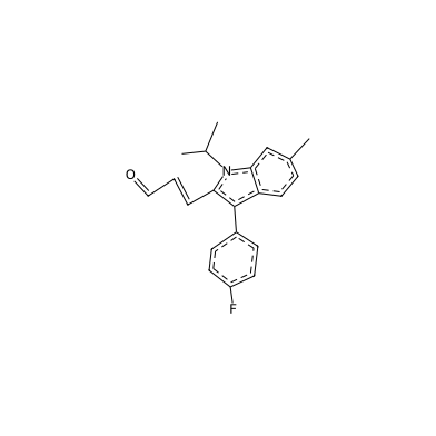 Cc1ccc2c(-c3ccc(F)cc3)c(/C=C/C=O)n(C(C)C)c2c1